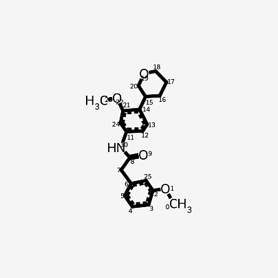 COc1cccc(CC(=O)Nc2ccc(C3CCCOC3)c(OC)c2)c1